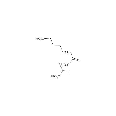 C=C(C)C(=O)OCC.C=C(C)C(=O)OCC.O=C(O)CCCC(=O)O